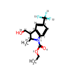 CCOC(=O)N1c2ccc(C(F)(F)F)cc2C(CO)C1C